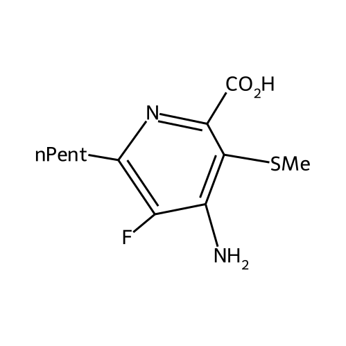 CCCCCc1nc(C(=O)O)c(SC)c(N)c1F